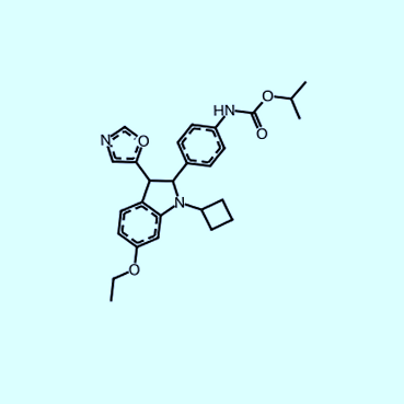 CCOc1ccc2c(c1)N(C1CCC1)C(c1ccc(NC(=O)OC(C)C)cc1)C2c1cnco1